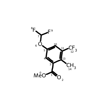 COC(=O)c1cc(OC(F)F)cc(C(F)(F)F)c1C